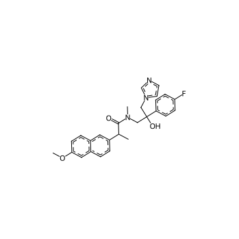 COc1ccc2cc(C(C)C(=O)N(C)CC(O)(Cn3ccnc3)c3ccc(F)cc3)ccc2c1